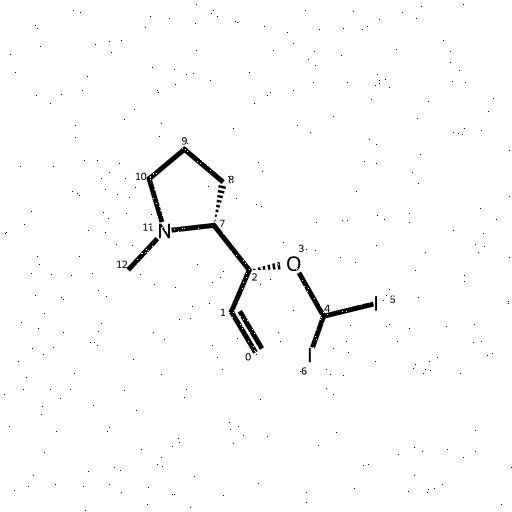 C=C[C@@H](OC(I)I)[C@H]1CCCN1C